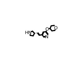 C(=C[C@@H]1CCNC1)c1cncc(OC2CCOCC2)c1